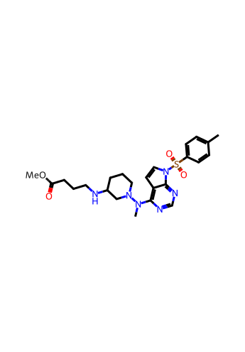 COC(=O)CCCNC1CCCN(N(C)c2ncnc3c2ccn3S(=O)(=O)c2ccc(C)cc2)C1